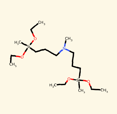 CCO[Si](C)(CCCN(C)CCC[Si](C)(OCC)OCC)OCC